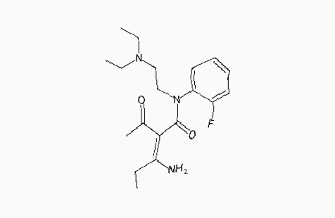 CC/C(N)=C(\C(C)=O)C(=O)N(CCN(CC)CC)c1ccccc1F